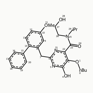 CCCCOc1c(O)nc(Cc2cc(OC)ccc2-c2ccccc2)nc1C(=O)N(CCO)C(C)C